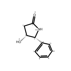 O=C1C[C@@H](O)[C@@H](c2ccccc2)N1